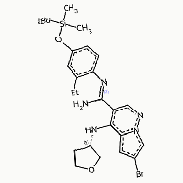 CCc1cc(O[Si](C)(C)C(C)(C)C)ccc1/N=C(\N)c1cnn2cc(Br)cc2c1N[C@H]1CCOC1